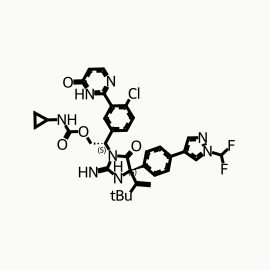 C=C(C(C)(C)C)[C@]1(c2ccc(-c3cnn(C(F)F)c3)cc2)NC(=N)N([C@H](COC(=O)NC2CC2)c2ccc(Cl)c(-c3nccc(=O)[nH]3)c2)C1=O